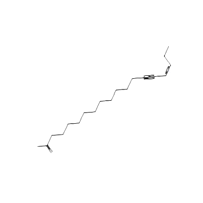 CC/C=C\C#CCCCCCCCCCCCC(=O)O